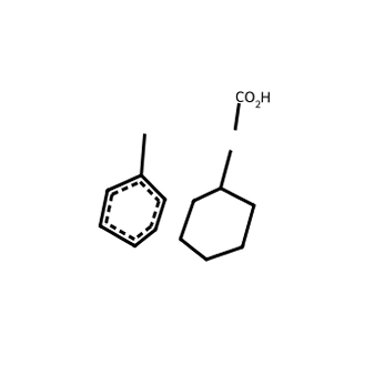 CC(=O)O.CC1CCCCC1.Cc1ccccc1